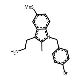 CSc1ccc2c(c1)c(CCN)c(C)n2Cc1ccc(Br)cc1